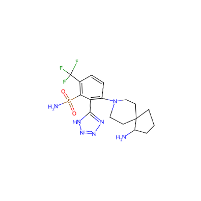 NC1CCCC12CCN(c1ccc(C(F)(F)F)c(S(N)(=O)=O)c1-c1nnn[nH]1)CC2